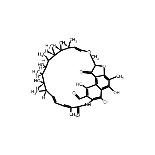 C/C1=C/C=C/[C@H](C)[C@H](O)[C@@H](C)[C@@H](O)[C@@H](C)[C@H](C)[C@H](C)[C@@H](C)/C=C/O[C@@]2(C)Oc3c(C)c(O)c4c(O)c(c(C=O)c(O)c4c3C2=O)NC1=O